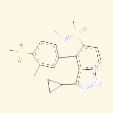 CN=S(C)(=O)c1ccc2[nH]nc(C3CC3)c2c1-c1ccc(S(C)(=O)=O)c(C)c1